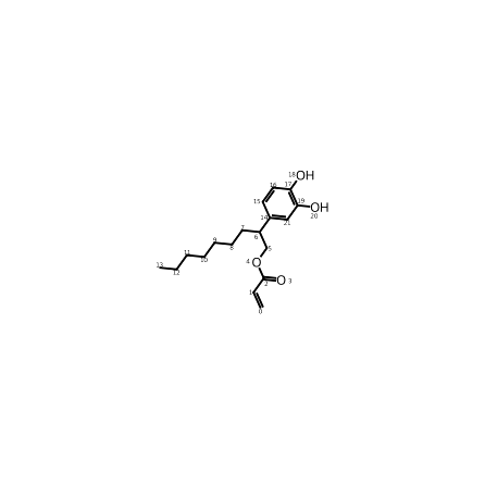 C=CC(=O)OCC(CCCCCCC)c1ccc(O)c(O)c1